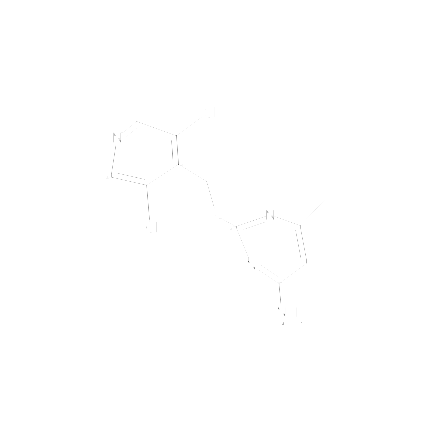 Cc1cc(N)nc(SCc2c(Cl)cncc2Cl)n1